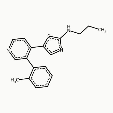 CCCNc1ncc(-c2ccncc2-c2ccccc2C)s1